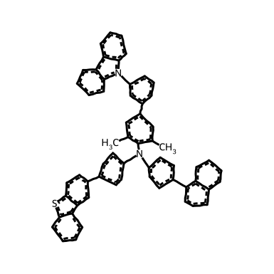 Cc1cc(-c2cccc(-n3c4ccccc4c4ccccc43)c2)cc(C)c1N(c1ccc(-c2ccc3sc4ccccc4c3c2)cc1)c1ccc(-c2cccc3ccccc23)cc1